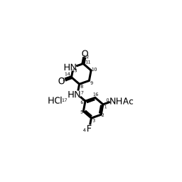 CC(=O)Nc1cc(F)cc(NC2CCC(=O)NC2=O)c1.Cl